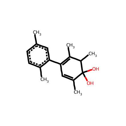 CC1=CC(c2cc(C)ccc2C)=C(C)C(C)C1(O)O